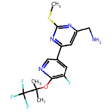 CSc1nc(CN)cc(-c2cnc(OC(C)(C)C(F)(F)F)c(F)c2)n1